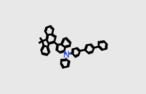 CC1(C)c2ccccc2-c2c(-c3ccc(N(c4ccccc4)c4ccc(-c5ccc(-c6ccccc6)cc5)cc4)c4ccccc34)cc3ccccc3c21